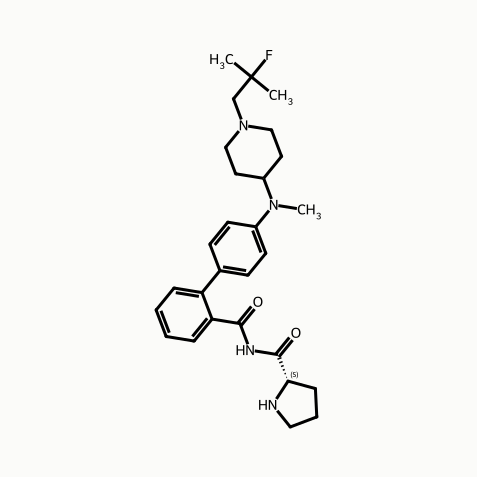 CN(c1ccc(-c2ccccc2C(=O)NC(=O)[C@@H]2CCCN2)cc1)C1CCN(CC(C)(C)F)CC1